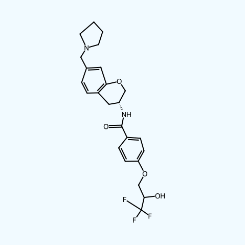 O=C(N[C@H]1COc2cc(CN3CCCC3)ccc2C1)c1ccc(OCC(O)C(F)(F)F)cc1